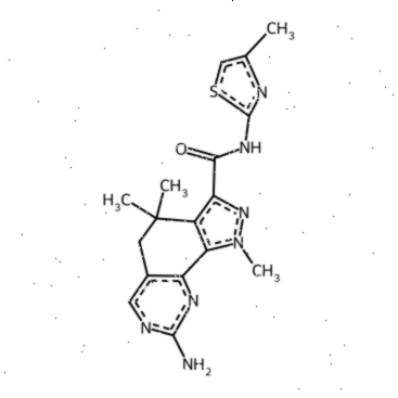 Cc1csc(NC(=O)c2nn(C)c3c2C(C)(C)Cc2cnc(N)nc2-3)n1